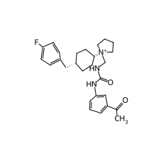 CC(=O)c1cccc(NC(=O)NC[N+]2([C@H]3CC[C@@H](Cc4ccc(F)cc4)CC3)CCCC2)c1